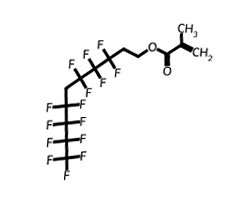 C=C(C)C(=O)OCCC(F)(F)C(F)(F)C(F)(F)CC(F)(F)C(F)(F)C(F)(F)C(F)(F)F